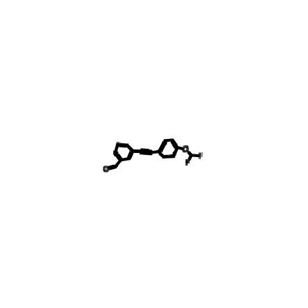 O=Cc1cccc(C#Cc2ccc(OC(F)F)cc2)c1